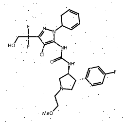 COCCN1C[C@@H](NC(=O)Nc2c(Cl)c(C(F)(F)CO)nn2C2C=CC=CC2)[C@H](c2ccc(F)cc2)C1